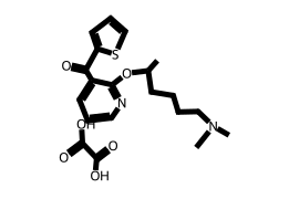 CC(CCCCN(C)C)Oc1ncccc1C(=O)c1cccs1.O=C(O)C(=O)O